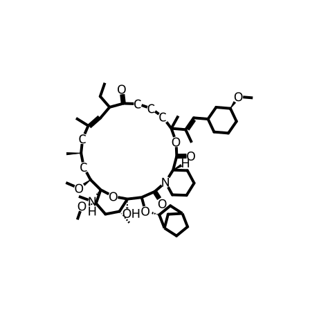 CCC1/C=C(\C)C[C@H](C)C[C@H](OC)[C@@]2(NC)O[C@@](O)(C(O[C@@H]3CC4CCC3C4)C(=O)N3CCCC[C@H]3C(=O)OC(C)(/C(C)=C/C3CCC[C@H](OC)C3)CCCC1=O)[C@H](C)C[C@@H]2OC